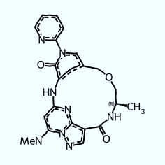 CNc1cc2nc3c(cnn13)C(=O)N[C@H](C)COCc1cc(c(=O)n(-c3ccccn3)c1)N2